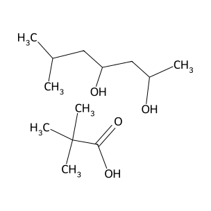 CC(C)(C)C(=O)O.CC(C)CC(O)CC(C)O